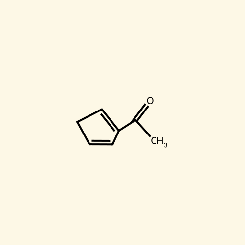 CC(=O)C1=CCC=C1